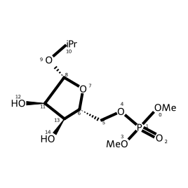 COP(=O)(OC)OC[C@H]1O[C@@H](OC(C)C)[C@H](O)[C@@H]1O